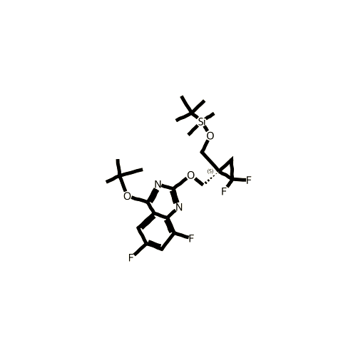 CC(C)(C)Oc1nc(OC[C@]2(CO[Si](C)(C)C(C)(C)C)CC2(F)F)nc2c(F)cc(F)cc12